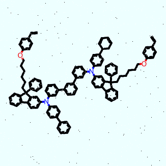 C=Cc1ccc(OCCCCCCC2(c3ccccc3)c3ccccc3-c3ccc(N(c4ccc(-c5ccccc5)cc4)c4cccc(-c5cccc(-c6cccc(N(c7ccc(C8C=CC=CC8)cc7)c7ccc8c(c7)C(CCCCCCOc7ccc(C=C)cc7)(c7ccccc7)c7ccccc7-8)c6)c5)c4)cc32)cc1